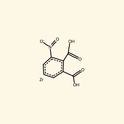 O=C(O)c1cccc([N+](=O)[O-])c1C(=O)O.[Zr]